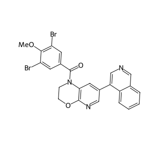 COc1c(Br)cc(C(=O)N2CCOc3ncc(-c4cncc5ccccc45)cc32)cc1Br